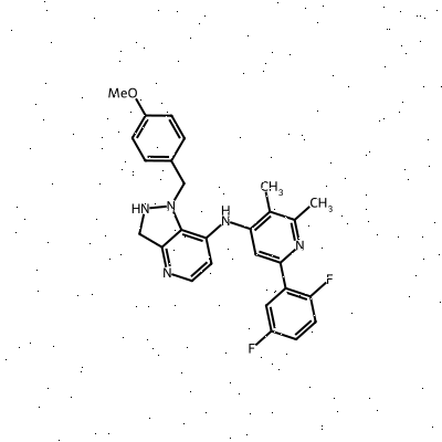 COc1ccc(CN2NCc3nccc(Nc4cc(-c5cc(F)ccc5F)nc(C)c4C)c32)cc1